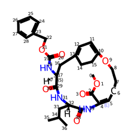 COC(=O)/C1=C\CCCOC2=CC=C(CC2)C[C@H](NC(=O)OCc2ccccc2)C(=O)N[C@@H](CC(C)C)C(=O)N1